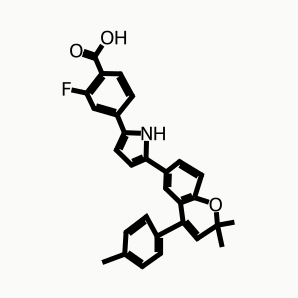 Cc1ccc(C2=CC(C)(C)Oc3ccc(-c4ccc(-c5ccc(C(=O)O)c(F)c5)[nH]4)cc32)cc1